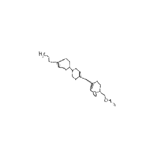 CCCC1CCC(C2CCC(C3=COC(CC)CC3)CC2)CC1